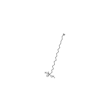 C[Si](C)(Cl)CCCCCCCCCCCCCCCCCCBr